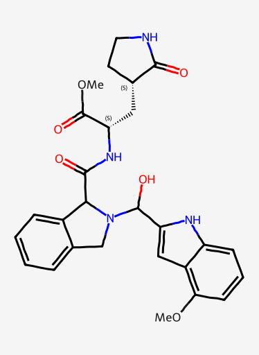 COC(=O)[C@H](C[C@@H]1CCNC1=O)NC(=O)C1c2ccccc2CN1C(O)c1cc2c(OC)cccc2[nH]1